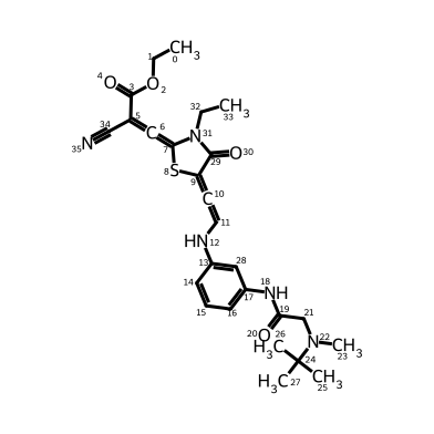 CCOC(=O)C(=C=c1sc(=C=CNc2cccc(NC(=O)CN(C)C(C)(C)C)c2)c(=O)n1CC)C#N